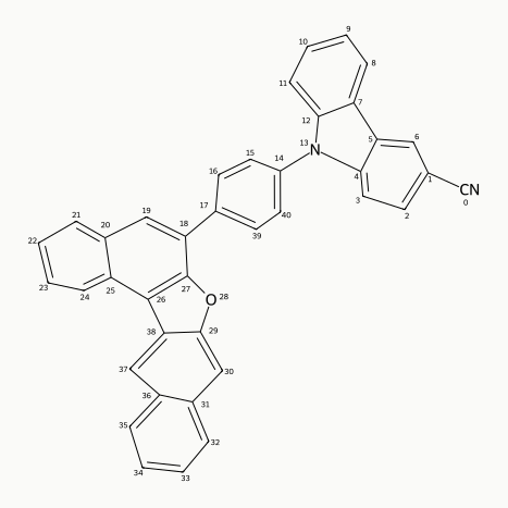 N#Cc1ccc2c(c1)c1ccccc1n2-c1ccc(-c2cc3ccccc3c3c2oc2cc4ccccc4cc23)cc1